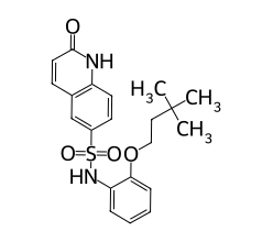 CC(C)(C)CCOc1ccccc1NS(=O)(=O)c1ccc2[nH]c(=O)ccc2c1